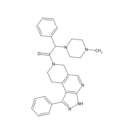 CN1CCN(C(C(=O)N2CCc3c(cnc4[nH]nc(-c5ccccc5)c34)C2)c2ccccc2)CC1